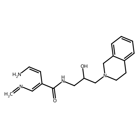 C=N/C=C(\C=C/N)C(=O)NCC(O)CN1CCc2ccccc2C1